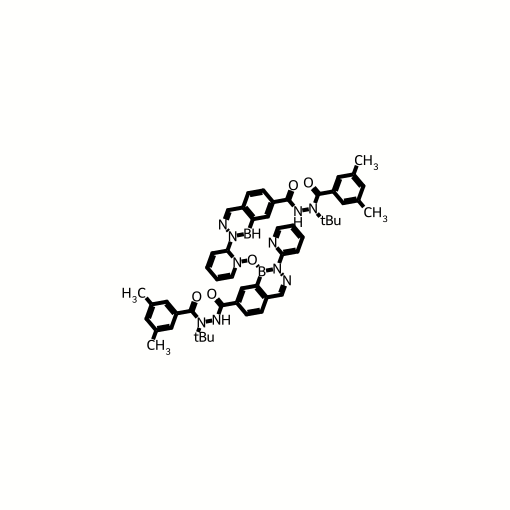 Cc1cc(C)cc(C(=O)N(NC(=O)c2ccc3c(c2)BN(C2C=CC=CN2OB2c4cc(C(=O)NN(C(=O)c5cc(C)cc(C)c5)C(C)(C)C)ccc4C=NN2c2ccccn2)N=C3)C(C)(C)C)c1